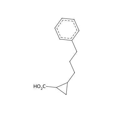 O=C(O)C1CC1CCCc1ccccc1